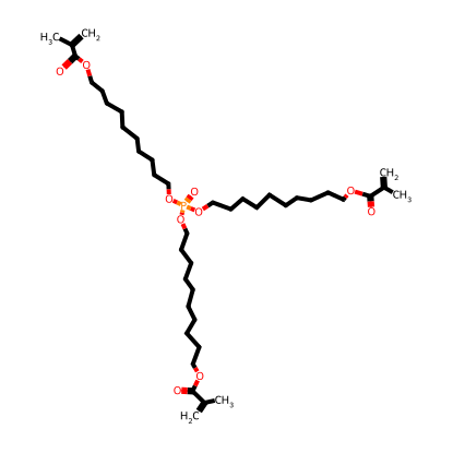 C=C(C)C(=O)OCCCCCCCCCCOP(=O)(OCCCCCCCCCCOC(=O)C(=C)C)OCCCCCCCCCCOC(=O)C(=C)C